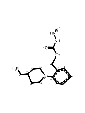 CC(C)NNC(=O)OCc1ccccc1N1CCC(CN)CC1